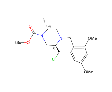 COc1ccc(CN2C[C@@H](C)N(C(=O)OC(C)(C)C)C[C@@H]2CCl)c(OC)c1